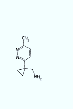 Cc1ccc(C2(CN)CC2)nn1